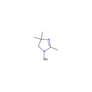 CC1=NC(C)(C)CN1C(C)(C)C